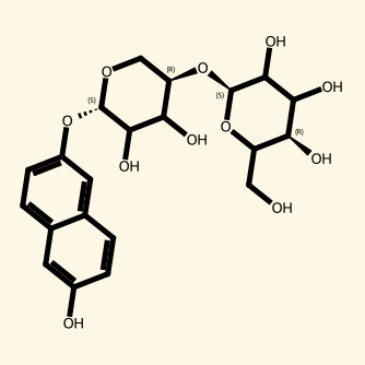 OCC1O[C@@H](O[C@@H]2CO[C@@H](Oc3ccc4cc(O)ccc4c3)C(O)C2O)C(O)C(O)[C@H]1O